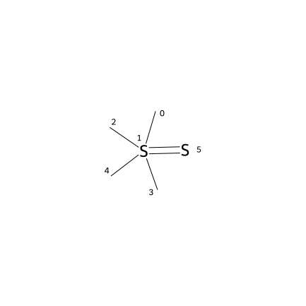 CS(C)(C)(C)=S